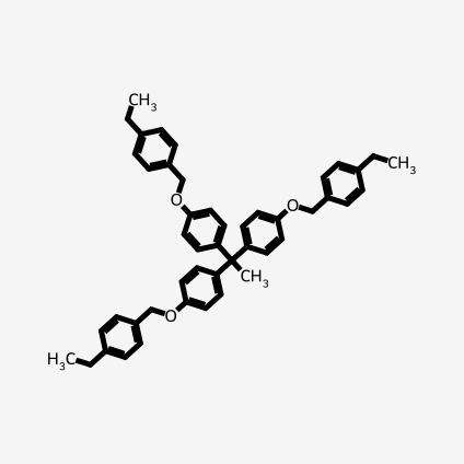 CCc1ccc(COc2ccc(C(C)(c3ccc(OCc4ccc(CC)cc4)cc3)c3ccc(OCc4ccc(CC)cc4)cc3)cc2)cc1